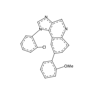 COc1ccccc1-c1ccc2ncc3ncn(-c4ccccc4Cl)c3c2c1